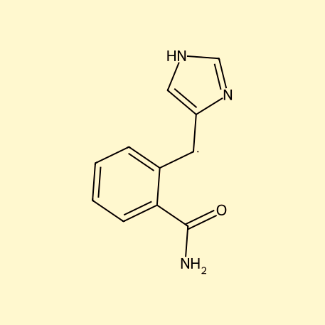 NC(=O)c1ccccc1[CH]c1c[nH]cn1